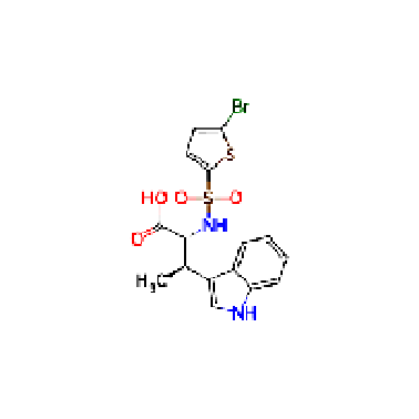 C[C@H](c1c[nH]c2ccccc12)[C@@H](NS(=O)(=O)c1ccc(Br)s1)C(=O)O